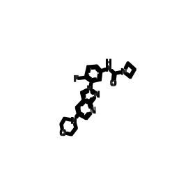 O=C(Nc1ccc(F)c(-n2cc3cc(N4CCOCC4)cnc3n2)c1)N1CCC1